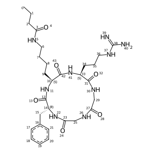 CCCC(=O)NCCCC[C@@H]1NC(=O)[C@@H](Cc2ccccc2)NC(=O)CNC(=O)CNC(=O)[C@H](CCCNC(=N)N)NC1=O